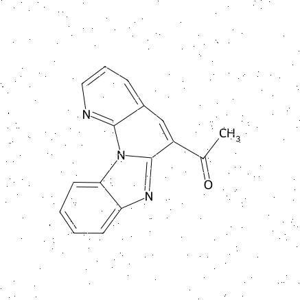 CC(=O)c1cc2cccnc2n2c1nc1ccccc12